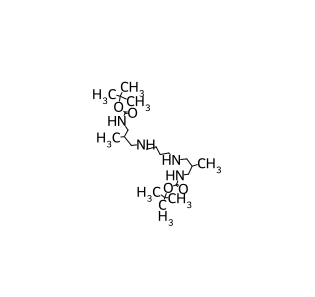 CC(CNCCCCNCC(C)CNC(=O)OC(C)(C)C)CNC(=O)OC(C)(C)C